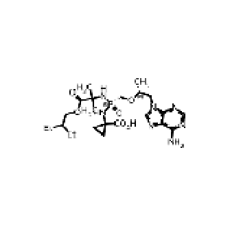 CCC(CC)COC(=O)C(C)(C)N[P@](=O)(CO[C@H](C)Cn1cnc2c(N)ncnc21)NC1(C(=O)O)CC1